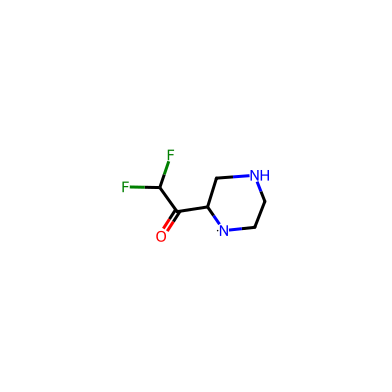 O=C(C(F)F)C1CNCC[N]1